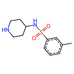 Cc1[c]ccc(S(=O)(=O)NC2CCNCC2)c1